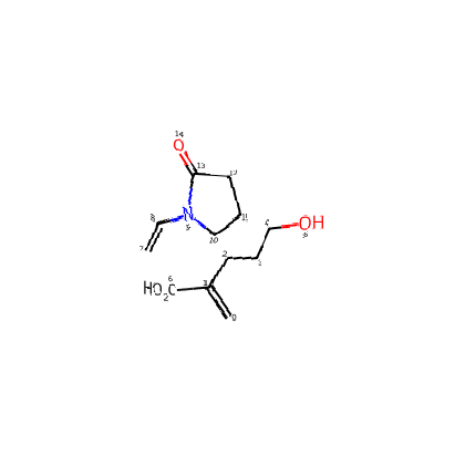 C=C(CCCO)C(=O)O.C=CN1CCCC1=O